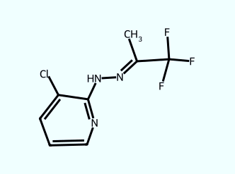 C/C(=N\Nc1ncccc1Cl)C(F)(F)F